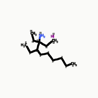 CCCCCCC(CC)C(N)(CC)CC.I